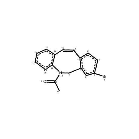 CC(=O)N1Cc2cc(Br)ccc2C=Cc2cccnc21